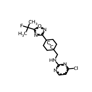 CC(C)(F)c1nc(C23CCC(CNc4nccc(Cl)n4)(CC2)CC3)no1